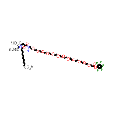 CCCCCCCCCCCN(C(=O)CCCCCCCCCC(=O)O)[C@H](CCC(=O)NCCOCCOCCOCCOCCOCCOCCOCCOCCOCCOCCOCCOCCC(=O)Oc1c(F)c(F)c(F)c(F)c1F)C(=O)O